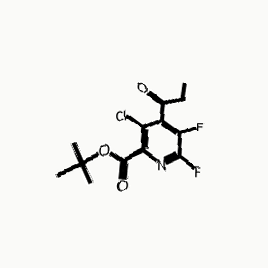 CCC(=O)c1c(F)c(F)nc(C(=O)OC(C)(C)C)c1Cl